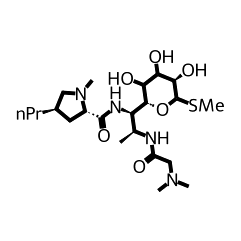 CCC[C@@H]1C[C@@H](C(=O)N[C@H]([C@H](C)NC(=O)CN(C)C)[C@H]2OC(SC)[C@H](O)C(O)C2O)N(C)C1